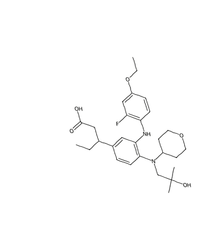 CCOc1ccc(Nc2cc(C(CC)CC(=O)O)ccc2N(CC(C)(C)O)C2CCOCC2)c(F)c1